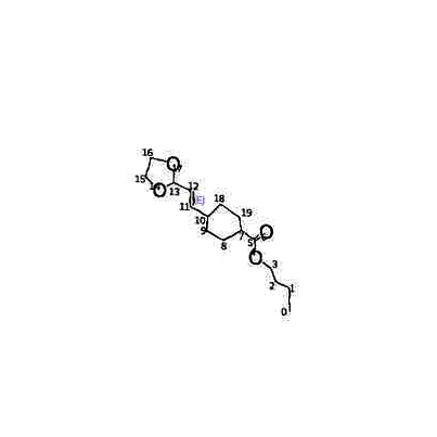 CCCCOC(=O)C1CCC(/C=C/C2OCCO2)CC1